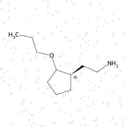 CCCOC1CCC[C@@H]1CCN